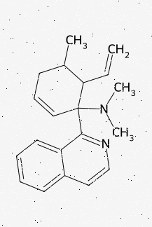 C=CC1C(C)CC=CC1(c1nccc2ccccc12)N(C)C